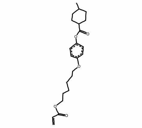 C=CC(=O)OCCCCCCOc1ccc(OC(=O)C2CCC(C)CC2)cc1